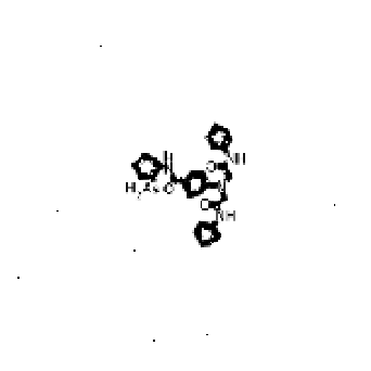 O=C(CN(CC(=O)Nc1ccccc1)c1ccc(C(=O)Nc2ccccc2[AsH2])cc1)Nc1ccccc1